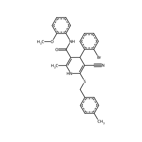 COc1ccccc1NC(=O)C1=C(C)NC(SCc2ccc(C)cc2)=C(C#N)C1c1ccccc1Br